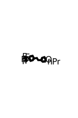 CCCOc1ccc(CCc2ccc(S(F)(F)(F)(F)F)cc2)cc1